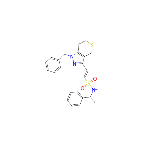 C[C@H](c1ccccc1)N(C)S(=O)(=O)/C=C/c1nn(Cc2ccccc2)c2c1CSCC2